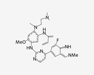 C=CC(=C)Nc1cc(Nc2nccc(C3=C/C(=C/NC)C(=N)C(F)=C3)n2)c(OC)cc1N(C)CCN(C)C